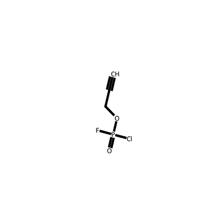 C#CCOP(=O)(F)Cl